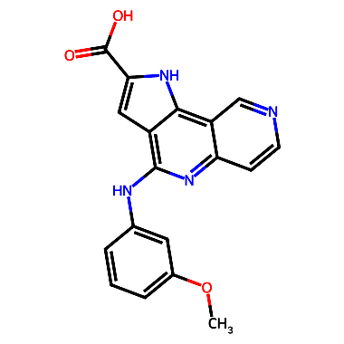 COc1cccc(Nc2nc3ccncc3c3[nH]c(C(=O)O)cc23)c1